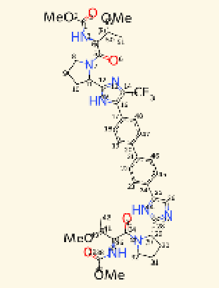 COC(=O)N[C@H](C(=O)N1CCCC1c1nc(C(F)(F)F)c(-c2ccc(-c3ccc(-c4cnc([C@@H]5CCCN5C(=O)[C@@H](NC(=O)OC)[C@@H](C)OC)[nH]4)cc3)cc2)[nH]1)[C@@H](C)OC